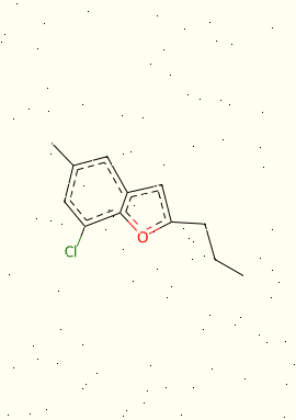 CCCc1cc2cc(C)cc(Cl)c2o1